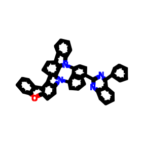 c1ccc(-c2nc(-c3ccc(-n4c5ccccc5c5ccc6c7c8c(ccc7n(-c7ccccc7)c6c54)oc4ccccc48)cc3)nc3ccccc23)cc1